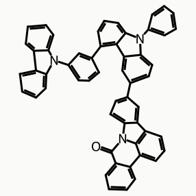 O=c1c2ccccc2c2cccc3c4cc(-c5ccc6c(c5)c5c(-c7cccc(-n8c9ccccc9c9ccccc98)c7)cccc5n6-c5ccccc5)ccc4n1c23